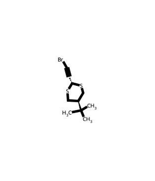 CC(C)(C)[C@H]1CS[C@H](C#CBr)SC1